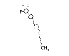 CCCCCCCCCC1CCC(CCc2ccc(-c3cc(F)c(F)c(F)c3)cc2)CC1